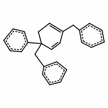 C1=CC(Cc2ccccc2)(c2ccccc2)CC=C1Cc1ccccc1